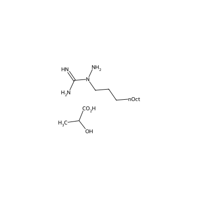 CC(O)C(=O)O.CCCCCCCCCCCN(N)C(=N)N